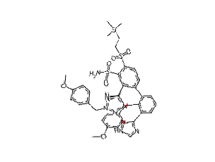 COc1ccc(Cc2c(-c3nc[nH]n3)cccc2-c2ccc(S(=O)(=O)CC[Si](C)(C)C)c(S(N)(=O)=O)c2-c2nnn(Cc3ccc(OC)cc3)n2)cc1